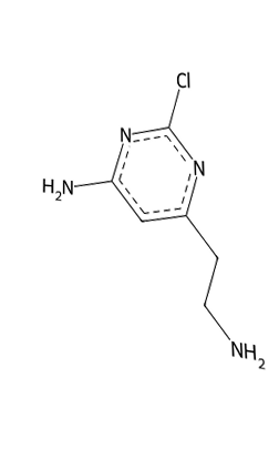 NCCc1cc(N)nc(Cl)n1